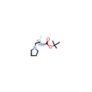 C[C@@H](CN1CCCC1)NC(=O)OC(C)(C)C